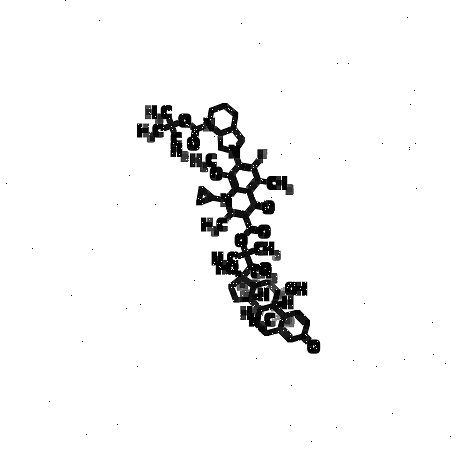 COc1c(N2CC3CCCN(C(=O)OC(C)(C)C)C3C2)c(F)c(C)c2c(=O)c(C(=O)OC(C)(C)C(=O)[C@@]3(O)CC[C@H]4[C@@H]5CCC6=CC(=O)C=C[C@]6(C)[C@H]5[C@@H](O)C[C@@]43C)c(C)n(C3CC3)c12